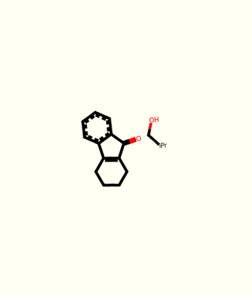 CC(C)CO.O=C1C2=C(CCCC2)c2ccccc21